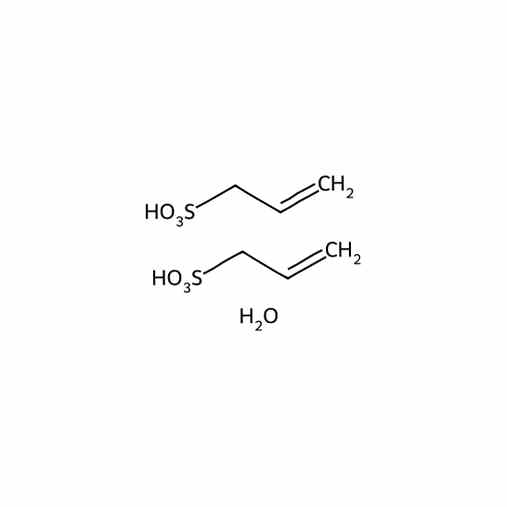 C=CCS(=O)(=O)O.C=CCS(=O)(=O)O.O